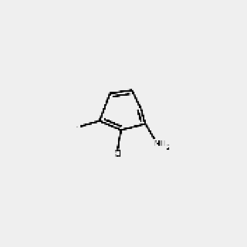 [CH2]c1cccc(N)c1Cl